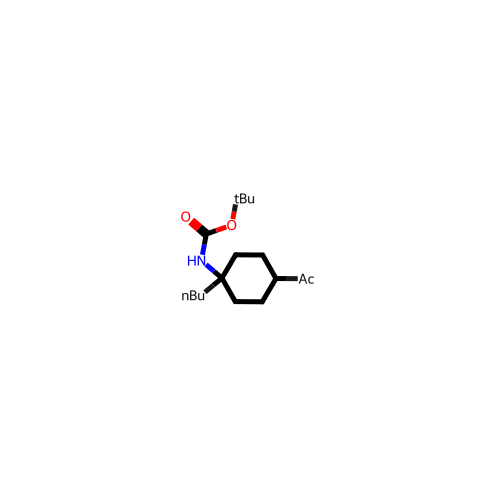 CCCCC1(NC(=O)OC(C)(C)C)CCC(C(C)=O)CC1